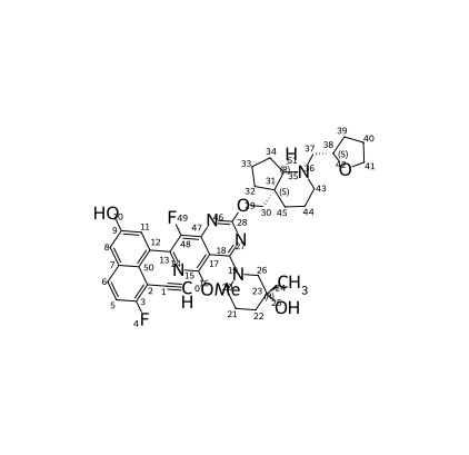 C#Cc1c(F)ccc2cc(O)cc(-c3nc(OC)c4c(N5CCC[C@@](C)(O)C5)nc(OC[C@]56CCC[C@H]5N(C[C@@H]5CCCO5)CCC6)nc4c3F)c12